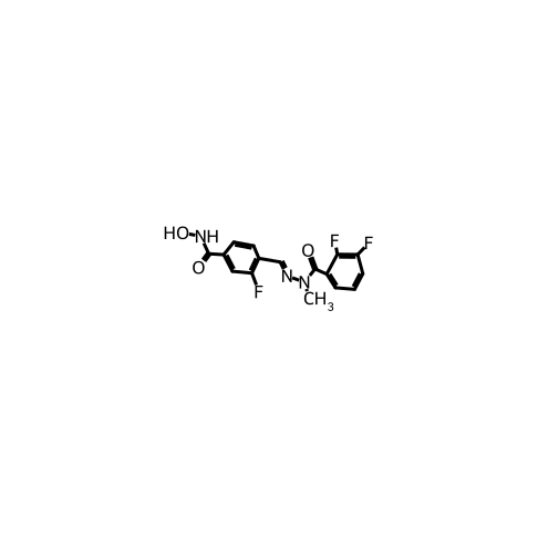 CN(N=Cc1ccc(C(=O)NO)cc1F)C(=O)c1cccc(F)c1F